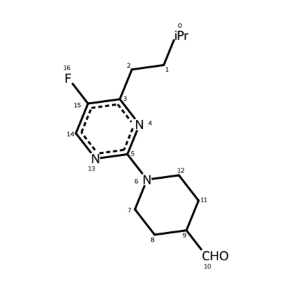 CC(C)CCc1nc(N2CCC(C=O)CC2)ncc1F